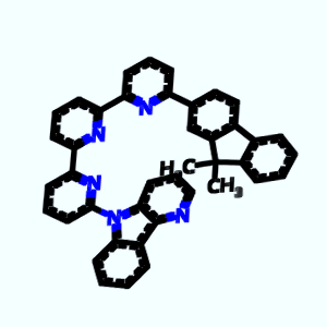 CC1(C)c2ccccc2-c2ccc(-c3cccc(-c4cccc(-c5cccc(-n6c7ccccc7c7ncccc76)n5)n4)n3)cc21